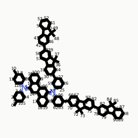 Cc1ccc(N(c2ccc(C)cc2)c2cc3c4ccccc4c(N(c4cccc(-c5ccc6c(c5)C(C)(C)c5cc(-c7ccc8c(c7)C(C)(C)c7ccccc7-8)ccc5-6)c4)c4cccc(-c5ccc6c(c5)C(C)(C)c5cc(-c7ccc8c(c7)C(C)(C)c7ccccc7-8)ccc5-6)c4)cc3c3ccccc23)cc1